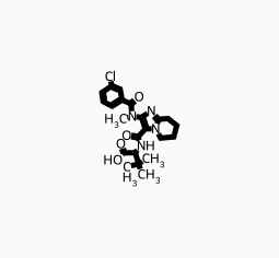 CN(C(=O)c1cccc(Cl)c1)c1nc2n(c1C(=O)NC(C(=O)O)C(C)(C)C)CCCC2